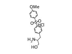 COc1ccc(S(=O)(=O)c2ccc(CC(N)CO)cc2)cc1.Cl